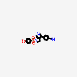 COc1ccc(S(=O)(=O)N2CCc3c(-c4ccc(C#N)cc4)cncc32)cc1